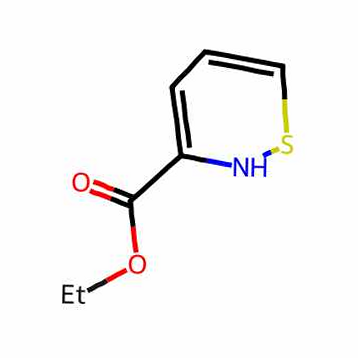 CCOC(=O)C1=CC=CSN1